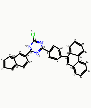 Clc1nc(-c2ccc(-c3cc4ccccc4c4ccccc34)cc2)nc(-c2ccc3ccccc3c2)n1